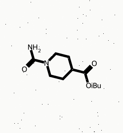 CC(C)COC(=O)C1CCN(C(N)=O)CC1